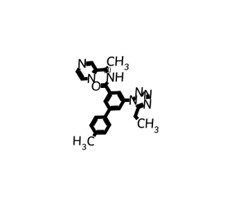 CCc1nnnn1-c1cc(C(=O)N[C@H](C)c2cnccn2)cc(-c2ccc(C)cc2)c1